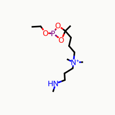 CCOP1OC(C)(CCC[N+](C)(C)CCCNC)O1